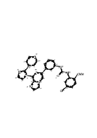 COc1ccc(Cl)cc1NC(=O)Nc1cccc(-c2cn3ccnc3c(-n3ccnc3-c3ccncc3)n2)c1